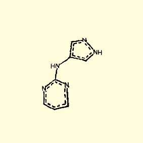 c1cnc(Nc2cn[nH]c2)nc1